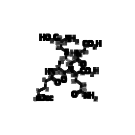 CCCCCCCCCCCCCC(=O)N[C@@H](C)C(=O)N([C@H](CCC(N)=O)C(=O)O)[C@H](CSC[C@H](N)C(=O)O)C(=O)NCC(=O)O